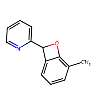 Cc1cccc2c1OC2c1ccccn1